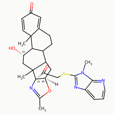 CC1=N[C@]2(C(=O)CSc3nc4cccnc4n3C)[C@@H](CC3C4CCC5=CC(=O)C=CC5(C)C4[C@@H](O)CC32C)O1